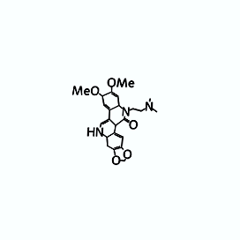 COC1=CC2C(=CC1OC)C1=CNC3CC4=C(C=C3C1C(=O)N2CCN(C)C)OCO4